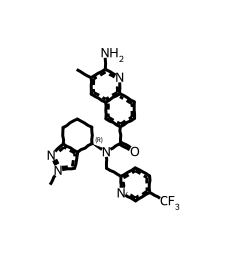 Cc1cc2cc(C(=O)N(Cc3ccc(C(F)(F)F)cn3)[C@@H]3CCCc4nn(C)cc43)ccc2nc1N